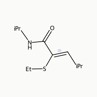 CCS/C(=C\C(C)C)C(=O)NC(C)C